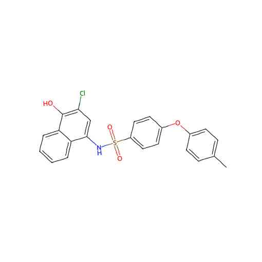 Cc1ccc(Oc2ccc(S(=O)(=O)Nc3cc(Cl)c(O)c4ccccc34)cc2)cc1